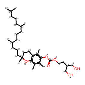 Cc1c(C)c2c(c(C)c1OC(=O)OCCC(CO)CO)CCC(C)(CCCC(C)CCCC(C)CCCC(C)C)O2